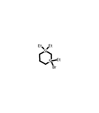 CC[Si]1(Br)CCC[Si](CC)(CC)C1